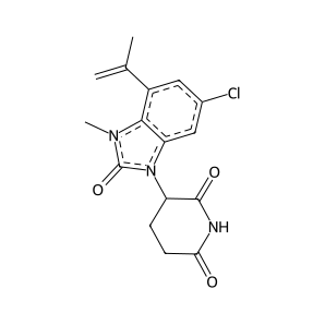 C=C(C)c1cc(Cl)cc2c1n(C)c(=O)n2C1CCC(=O)NC1=O